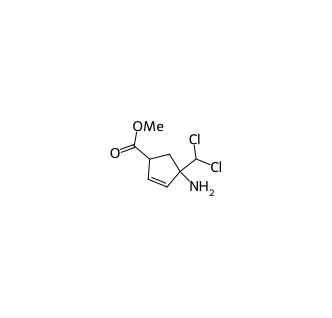 COC(=O)C1C=CC(N)(C(Cl)Cl)C1